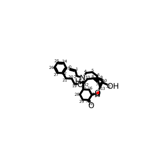 C=CCN1CCCc2c3ccc(O)c2O[C@@H]2C[C@@](OCCCc4ccccc4)(CCC2=O)[C@H]1C3